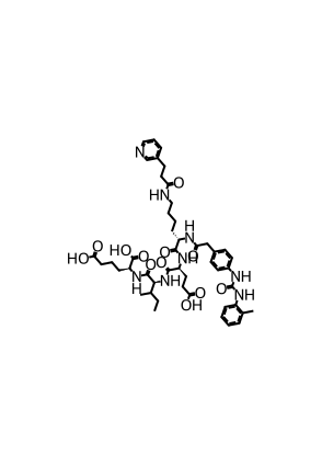 CCC(C)[C@H](NC(=O)[C@H](CCC(=O)O)NC(=O)[C@H](CCCCNC(=O)CCc1cccnc1)NC(=O)Cc1ccc(NC(=O)Nc2ccccc2C)cc1)C(=O)N[C@@H](CCCC(=O)O)C(=O)O